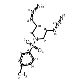 Cc1ccc(S(=O)(=O)N(CCN=[N+]=[N-])CCN=[N+]=[N-])cc1